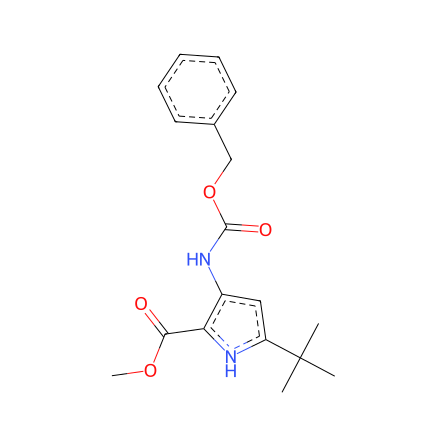 COC(=O)c1[nH]c(C(C)(C)C)cc1NC(=O)OCc1ccccc1